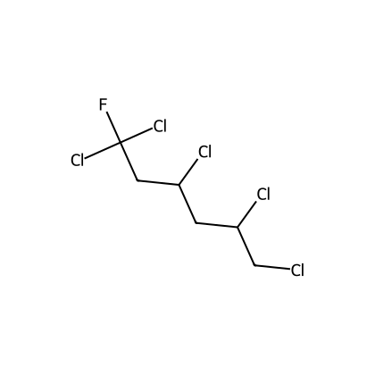 FC(Cl)(Cl)CC(Cl)CC(Cl)CCl